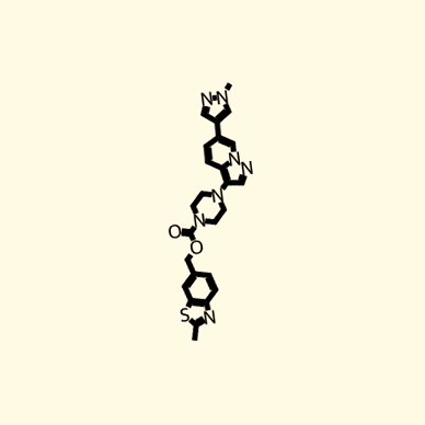 Cc1nc2ccc(COC(=O)N3CCN(c4cnn5cc(-c6cnn(C)c6)ccc45)CC3)cc2s1